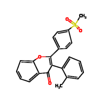 Cc1ccccc1-c1c(-c2ccc(S(C)(=O)=O)cc2)oc2ccccc2c1=O